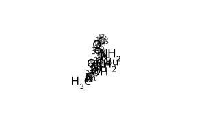 C=C(/C=C(\C(CCCC)=N/N)c1ccc(OC2CCCCC2)cc1)C(=O)NCC1(O)CCN(C)CC1